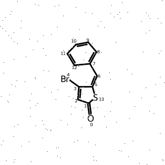 O=C1C=C(Br)/C(=C\c2ccccc2)S1